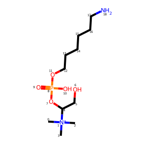 C[N+](C)(C)C(CO)OP(=O)(O)OCCCCCCN